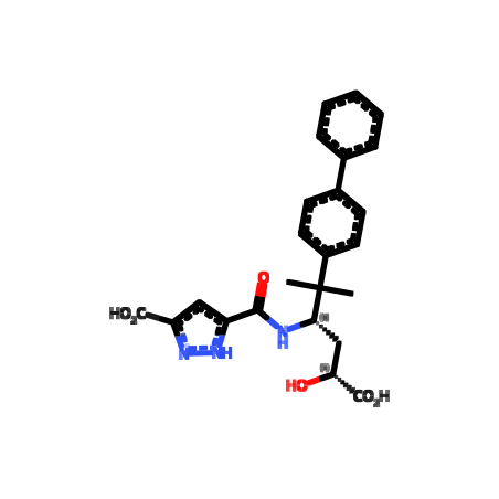 CC(C)(c1ccc(-c2ccccc2)cc1)[C@H](C[C@@H](O)C(=O)O)NC(=O)c1cc(C(=O)O)n[nH]1